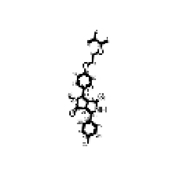 C=C(C)C(=C)OCCOc1ccc(C2=C3C(=O)NC(c4ccc(C)cc4)=C3C(=O)N2C)cc1